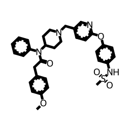 COc1ccc(CC(=O)N(c2ccccc2)C2CCN(Cc3ccc(Oc4ccc(NS(C)(=O)=O)cc4)nc3)CC2)cc1